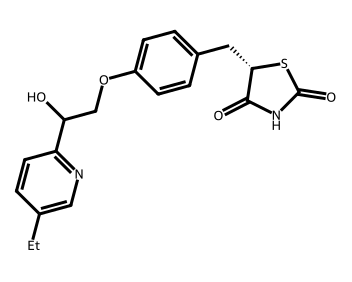 CCc1ccc(C(O)COc2ccc(C[C@@H]3SC(=O)NC3=O)cc2)nc1